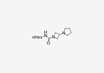 CCCCCCNC(=O)N1CC(N2CCCC2)C1